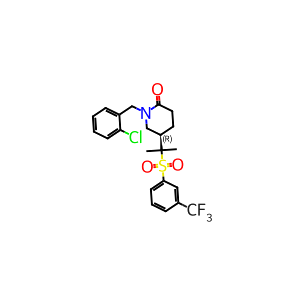 CC(C)([C@@H]1CCC(=O)N(Cc2ccccc2Cl)C1)S(=O)(=O)c1cccc(C(F)(F)F)c1